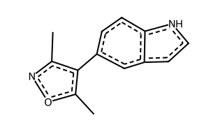 Cc1noc(C)c1-c1ccc2[nH]ccc2c1